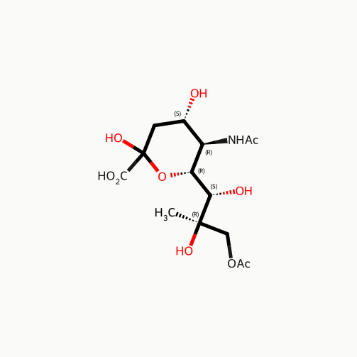 CC(=O)N[C@H]1[C@H]([C@H](O)[C@](C)(O)COC(C)=O)OC(O)(C(=O)O)C[C@@H]1O